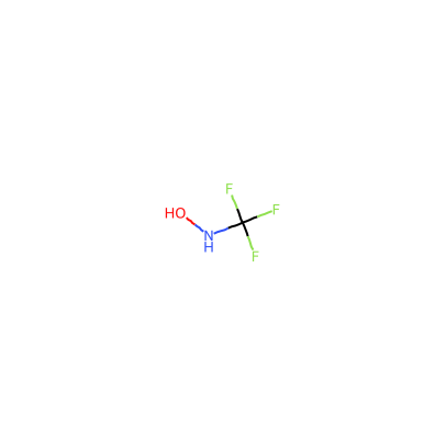 ONC(F)(F)F